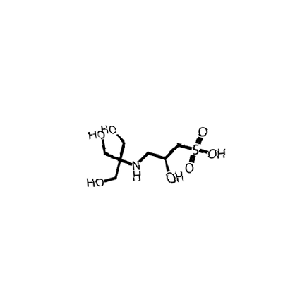 O=S(=O)(O)C[C@@H](O)CNC(CO)(CO)CO